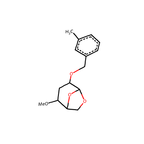 COC1CC(OCc2cccc(C)c2)C2OCC1O2